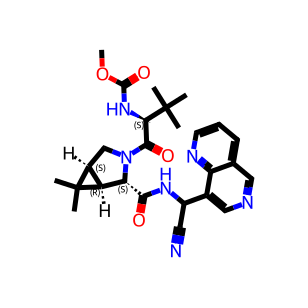 COC(=O)N[C@H](C(=O)N1C[C@H]2[C@@H]([C@H]1C(=O)NC(C#N)c1cncc3cccnc13)C2(C)C)C(C)(C)C